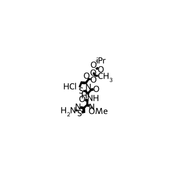 CON=C(C(=O)NC1C(=O)N2C(C(=O)OC(C)OC(=O)OC(C)C)=CCS[C@@H]12)c1csc(N)n1.Cl